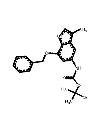 Cc1coc2c(OCc3ccccc3)cc(NC(=O)OC(C)(C)C)cc12